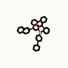 c1ccc(-c2ccc(N(c3cccc(-c4ccc5ccccc5c4)c3)c3ccccc3-c3cc4ccccc4c4ccccc34)cc2)cc1